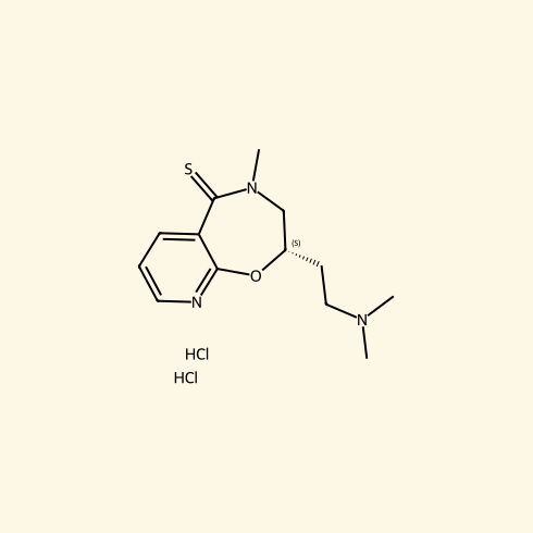 CN(C)CC[C@H]1CN(C)C(=S)c2cccnc2O1.Cl.Cl